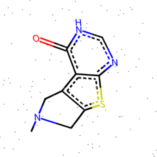 CN1Cc2sc3nc[nH]c(=O)c3c2C1